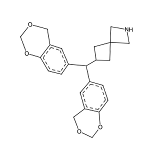 c1cc2c(cc1C(c1ccc3c(c1)COCO3)C1CC3(CNC3)C1)COCO2